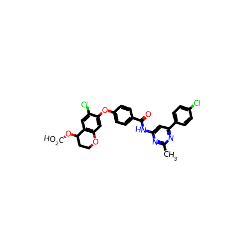 Cc1nc(NC(=O)c2ccc(Oc3cc4c(cc3Cl)C(OC(=O)O)CCO4)cc2)cc(-c2ccc(Cl)cc2)n1